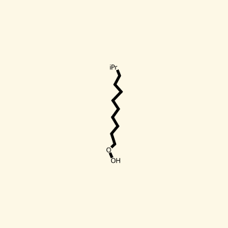 CC(C)CCCCCCCCCOO